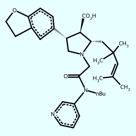 CCCCN(C(=O)CN1C[C@H](c2ccc3c(c2)CCO3)[C@@H](C(=O)O)[C@@H]1CC(C)(C)C=C(C)C)c1cccnc1